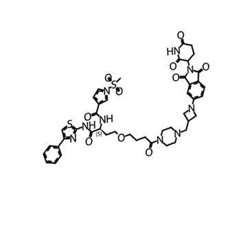 CS(=O)(=O)n1ccc(C(=O)N[C@@H](CCOCCCC(=O)N2CCN(CC3CN(c4ccc5c(c4)C(=O)N(C4CCC(=O)NC4=O)C5=O)C3)CC2)C(=O)Nc2nc(-c3ccccc3)cs2)c1